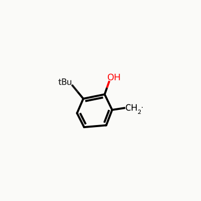 [CH2]c1cccc(C(C)(C)C)c1O